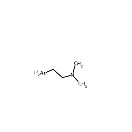 CN(C)CC[AsH2]